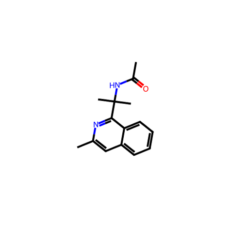 CC(=O)NC(C)(C)c1nc(C)cc2ccccc12